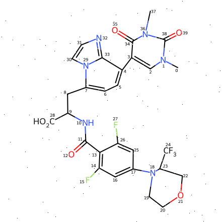 Cn1cc(-c2ccc(CC(NC(=O)c3c(F)cc(N4CCOCC4C(F)(F)F)cc3F)C(=O)O)n3ccnc23)c(=O)n(C)c1=O